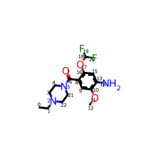 CCN1CCN(C(=O)c2cc(OC)c(N)cc2OC(F)F)CC1